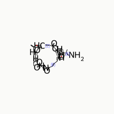 C=C1C[C@@H]2C[C@@H]3CCO[C@@H](O3)c3coc(n3)/C=C/C[C@H]3O[C@@H](/C(C)=C/N)[C@H](C)[C@@H](OC(=O)/C=C\C[C@@H](C1)O2)[C@H]3C